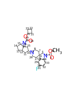 COC(=O)N1CC2(CCN(C3CC4CCC5N(C(=O)OC6CCC6)C45C3)CC2)c2cc(F)ccc21